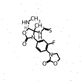 CN[C@H]1OC(=O)N(c2ccc(N3CCOC3=O)c(F)c2)C1(C)NC=S